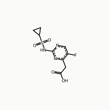 O=C(O)Cc1nc(NS(=O)(=O)C2CC2)ncc1F